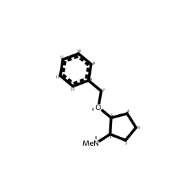 [CH2]NC1CCCC1OCc1ccccc1